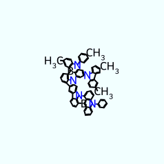 Cc1ccc(N2c3ccc(C)cc3B3c4c2cc(-n2c5ccc(C)cc5c5cc(C)ccc52)cc4-n2c4cc5c(cc4c4cccc3c42)c2cccc3c2n5-c2cccc4c2B3c2ccccc2N4c2ccccc2)cc1